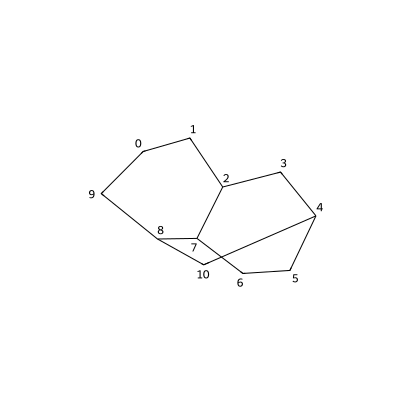 C1CC2CC3CCC2C(C1)C3